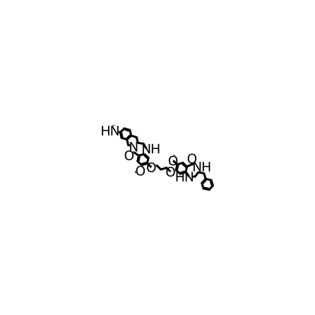 CNc1ccc2c(c1)CN1C(=O)c3cc(OC)c(OCCCOc4cc5c(cc4OC)C(=O)NC(Cc4ccccc4)CN5)cc3NCC1C2